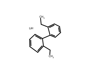 CCc1ccccc1-c1ccccc1CC.[LiH]